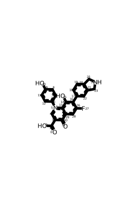 O=C(O)c1cn(-c2ccc(O)cc2)c2c(O)c(-c3ccc4c(c3)CNC4)c(F)cc2c1=O